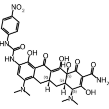 CN(C)c1cc(NC(=O)Nc2ccc([N+](=O)[O-])cc2)c(O)c2c1C[C@H]1C[C@H]3[C@H](N(C)C)C(O)=C(C(N)=O)C(=O)[C@@]3(O)C(O)=C1C2=O